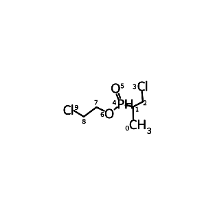 CC(CCl)[PH](=O)OCCCl